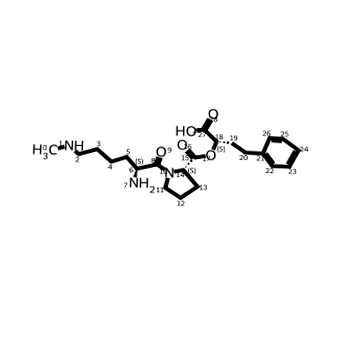 CNCCCC[C@H](N)C(=O)N1CCC[C@H]1C(=O)O[C@@H](CCc1ccccc1)C(=O)O